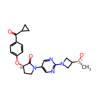 C[S+]([O-])C1CN(c2ncc(N3CC[C@@H](Oc4ccc(C(=O)C5CC5)cc4)C3=O)cn2)C1